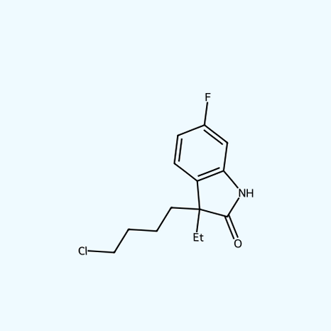 CCC1(CCCCCl)C(=O)Nc2cc(F)ccc21